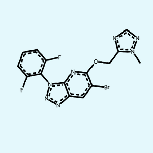 Cn1ncnc1COc1nc2c(cc1Br)nnn2-c1c(F)cccc1F